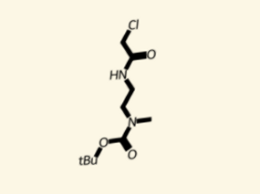 CN(CCNC(=O)CCl)C(=O)OC(C)(C)C